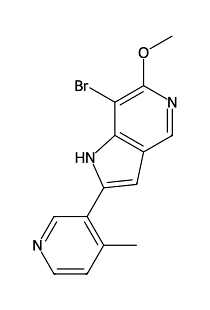 COc1ncc2cc(-c3cnccc3C)[nH]c2c1Br